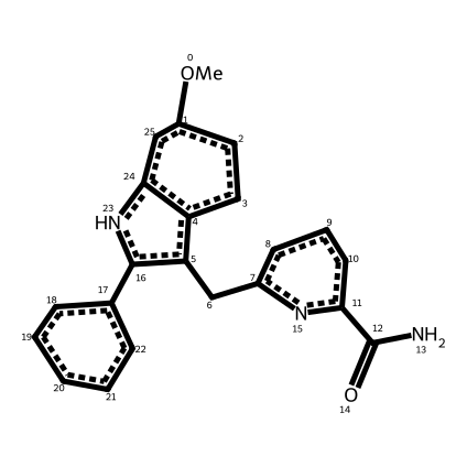 COc1ccc2c(Cc3cccc(C(N)=O)n3)c(-c3ccccc3)[nH]c2c1